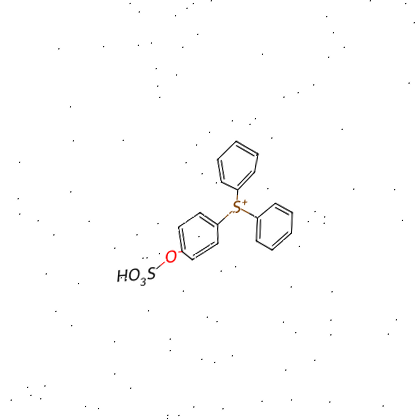 O=S(=O)([O-])O.c1ccc([S+](c2ccccc2)c2ccccc2)cc1